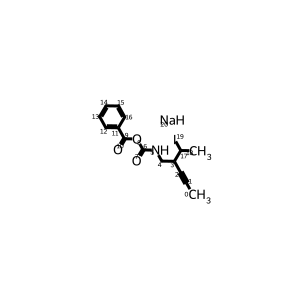 CC#CC(CNC(=O)OC(=O)c1ccccc1)C(C)I.[NaH]